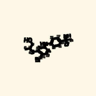 CC(CO)Sc1nc(Nc2ccc(S(C)(=N)=O)cc2)ncc1Br